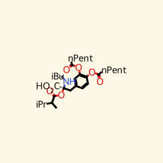 CCCCCC(=O)Oc1ccc(C[C@](NC(C)CC)(OC(=O)C(C)C(C)C)C(=O)O)cc1OC(=O)CCCCC